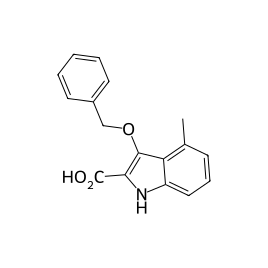 Cc1cccc2[nH]c(C(=O)O)c(OCc3ccccc3)c12